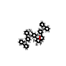 N#Cc1cc(-n2c3ccccc3c3cc(-n4c5ccccc5c5ccccc54)ccc32)c(-c2c(F)c(F)c(F)c(F)c2F)cc1-n1c2ccccc2c2cc(-n3c4ccccc4c4ccccc43)ccc21